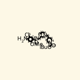 COc1cc(N)c(Cl)cc1C(=O)NCC1CN(CC2CCN(C(=O)OCC(C)C)CC2)CCO1